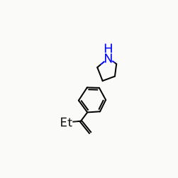 C1CCNC1.C=C(CC)c1ccccc1